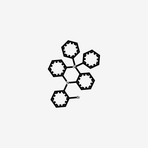 Brc1ccccc1N1c2ccccc2[Si](c2ccccc2)(c2ccccc2)c2ccccc21